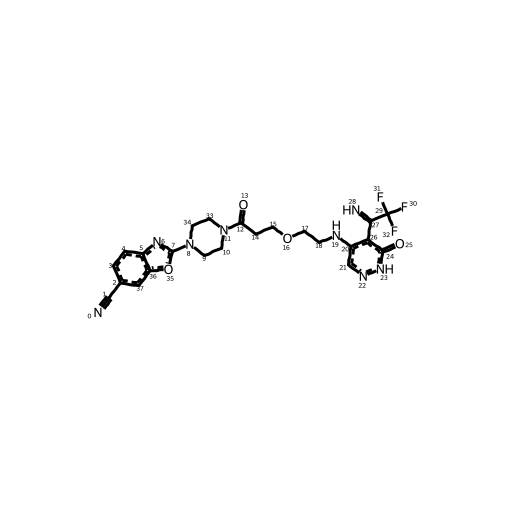 N#Cc1ccc2nc(N3CCN(C(=O)CCOCCNc4cn[nH]c(=O)c4C(=N)C(F)(F)F)CC3)oc2c1